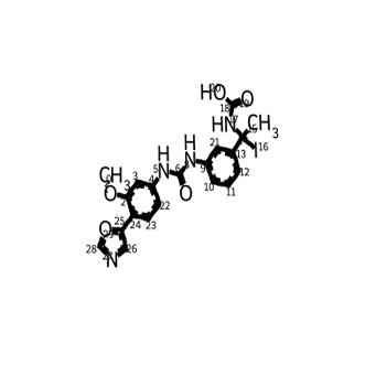 COc1cc(NC(=O)Nc2cccc(C(C)(I)NC(=O)O)c2)ccc1-c1cnco1